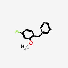 COc1cc(F)ccc1Cc1c[c]ccc1